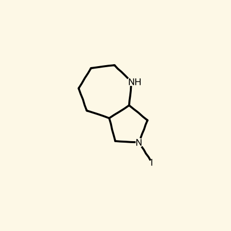 IN1CC2CCCCNC2C1